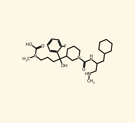 CNCC(CC1CCCCC1)NC(=O)N1CCCC(C(O)(CCCN(C)C(=O)O)c2ccccc2F)C1